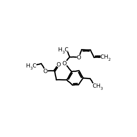 C=C/C=C\OC(C)Oc1cc(CC)ccc1CC(=O)OCC